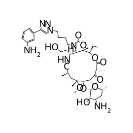 CC[C@H]1OC(=O)[C@H](C)C(=O)[C@H](C)[C@@H](O[C@@H]2O[C@H](C)CC(N)C2O)[C@](C)(OC)C[C@@H](C)CN[C@H](CCO)[C@H]2N(CCCCn3cc(-c4cccc(N)c4)nn3)C(=O)O[C@]12C